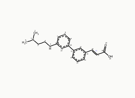 CN(C)CCNc1cncc(-c2cccc(/C=C/C(=O)O)c2)n1